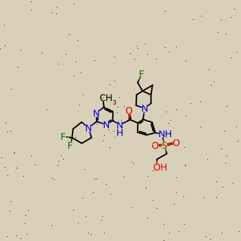 Cc1cc(NC(=O)c2ccc(NS(=O)(=O)CCO)cc2N2CCC3(CF)CC3C2)nc(N2CCC(F)(F)CC2)n1